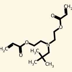 C=CC(=O)OCCN(CCOC(=O)C=C)CC(C)(C)C